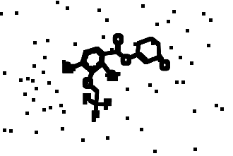 O=C1C=C(OC(=O)c2ccc(Br)c(OCC(F)(F)F)c2Br)CCC1